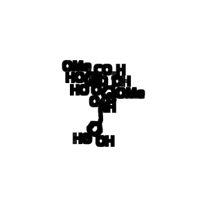 CO[C@@H]1O[C@@H](C(=O)NCCc2ccc(O)c(O)c2)[C@@H](O[C@@H]2OC(C(=O)O)[C@@H](OC)[C@H](O)C2O)C(O)C1O